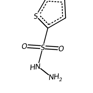 NNS(=O)(=O)c1cccs1